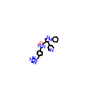 c1cc(-c2c(-c3nc(-c4ccc(Cn5ncnn5)cc4)no3)cnn2C2CCCCC2)ccn1